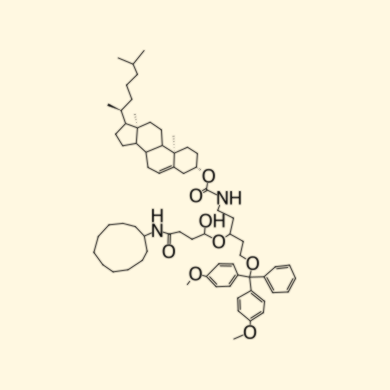 COc1ccc(C(OCCC(CCNC(=O)O[C@H]2CC[C@@]3(C)C(=CCC4C5CCC([C@@H](C)CCCC(C)C)[C@@]5(C)CCC43)C2)OC(O)CCC(=O)NC2CCCCCCCCCC2)(c2ccccc2)c2ccc(OC)cc2)cc1